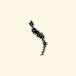 CCCCCCCCc1ccc(/C=C/c2ccc3sc4c(ccc5c4ccc4c6cc(/C=C/c7ccc(C)cc7)ccc6oc45)c3c2)cc1